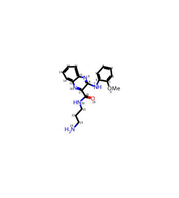 COc1ccccc1Nc1nc2ccccc2nc1C(=O)NCCCN